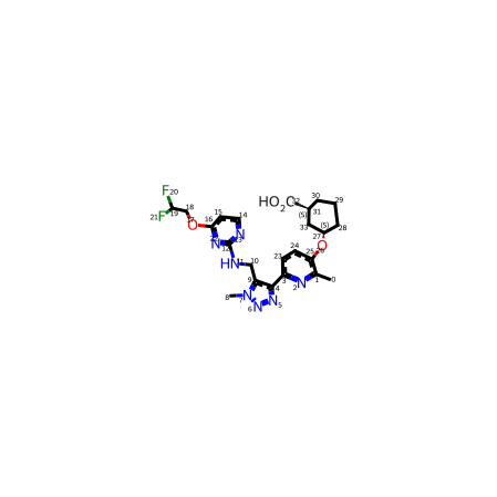 Cc1nc(-c2nnn(C)c2CNc2nccc(OCC(F)F)n2)ccc1O[C@H]1CCC[C@H](C(=O)O)C1